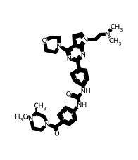 C[C@H]1CN(C(=O)c2ccc(NC(=O)Nc3ccc(-c4nc(N5CCOCC5)c5ccn(CCN(C)C)c5n4)cc3)cc2)CCN1C